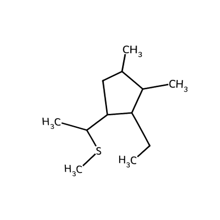 CCC1C(C)C(C)CC1C(C)SC